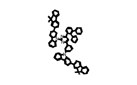 CC1(C)c2ccccc2-c2ccc(-c3ccc4c5ccccc5n(-c5cccc(-c6cc(-c7cccc(-c8ccccc8)c7-c7ccccc7)nc(-n7c8ccccc8c8ccc(-c9ccc%10c(c9)C(C)(C)c9ccccc9-%10)cc87)n6)c5)c4c3)cc21